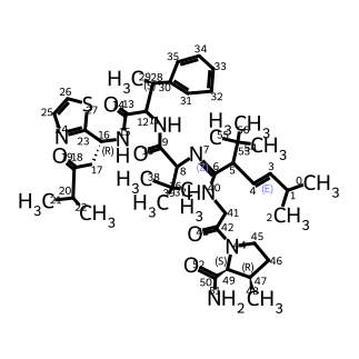 CC(C)/C=C/C(/C(=N/C(C(=O)NC(C(=O)N[C@H](CC(=O)C(C)C)c1nccs1)[C@@H](C)c1ccccc1)C(C)(C)C)NCC(=O)N1CC[C@@H](C)[C@H]1C(N)=O)C(C)(C)C